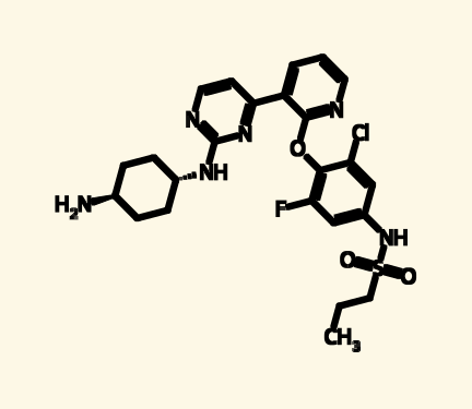 CCCS(=O)(=O)Nc1cc(F)c(Oc2ncccc2-c2ccnc(N[C@H]3CC[C@H](N)CC3)n2)c(Cl)c1